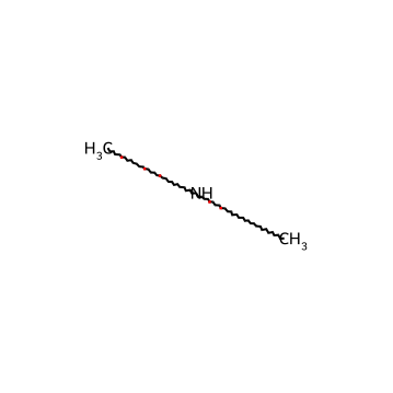 CCCCCCCCCCCCCCCCCCCCCCCCCCCCC=CNC=CCCCCCCCCCCCCCCCCCCCCCCCCCCCC